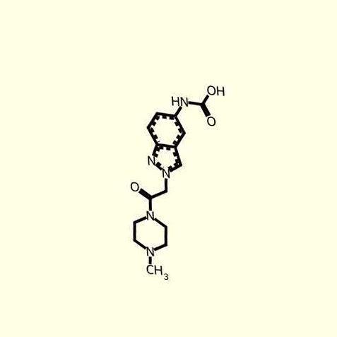 CN1CCN(C(=O)Cn2cc3cc(NC(=O)O)ccc3n2)CC1